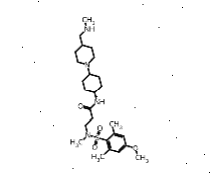 CNCC1CCN(C2CCC(NC(=O)CCN(C)S(=O)(=O)c3c(C)cc(OC)cc3C)CC2)CC1